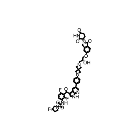 O=C1CC[C@H](N2Cc3cc(OC[C@@H](O)CN4CC5(C4)CN(c4ccc(-c6cnc7[nH]cc(C(=O)c8c(F)ccc(NS(=O)(=O)N9CC[C@@H](F)C9)c8F)c7c6)cc4)C5)ccc3C2=O)C(=O)N1